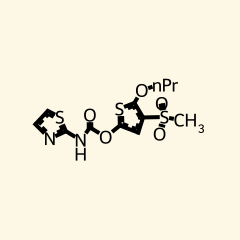 CCCOc1sc(OC(=O)Nc2nccs2)cc1S(C)(=O)=O